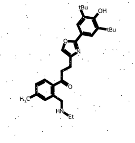 CCNCc1cc(C)ccc1C(=O)CCc1coc(-c2cc(C(C)(C)C)c(O)c(C(C)(C)C)c2)n1